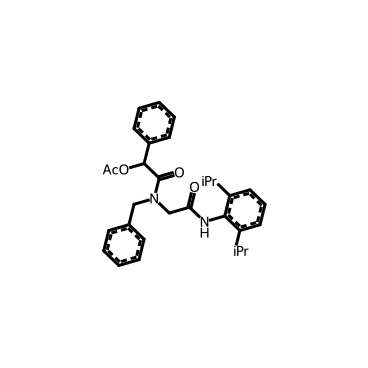 CC(=O)OC(C(=O)N(CC(=O)Nc1c(C(C)C)cccc1C(C)C)Cc1ccccc1)c1ccccc1